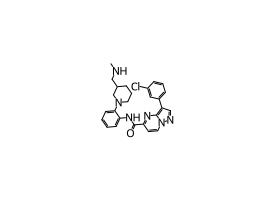 CNCC1CCCN(c2ccccc2NC(=O)c2ccn3ncc(-c4cccc(Cl)c4)c3n2)C1